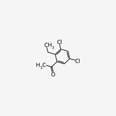 CCc1c(Cl)cc(Cl)cc1C(C)=O